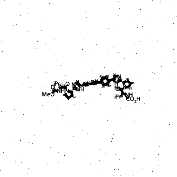 COC(=O)N[C@H](C(=O)N1CCC[C@H]1c1ncc(C#CC#Cc2ccc(-c3cnc([C@@H]4CCCN4C(=O)[C@@H](NC(=O)O)C(C)C)[nH]3)cc2)[nH]1)C(C)C